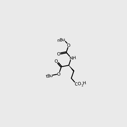 CCCCOC(=O)N[C@@H](CCC(=O)O)C(=O)OC(C)(C)C